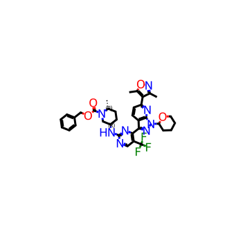 Cc1noc(C)c1-c1ccc2c(-c3nc(N[C@@H]4CC[C@@H](C)N(C(=O)OCc5ccccc5)C4)ncc3C(F)(F)F)nn(C3CCCCO3)c2n1